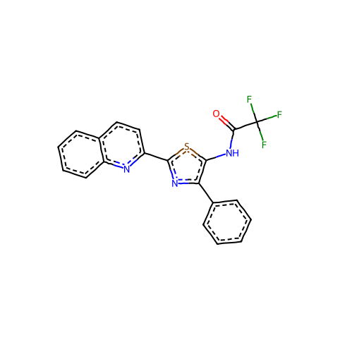 O=C(Nc1sc(-c2ccc3ccccc3n2)nc1-c1ccccc1)C(F)(F)F